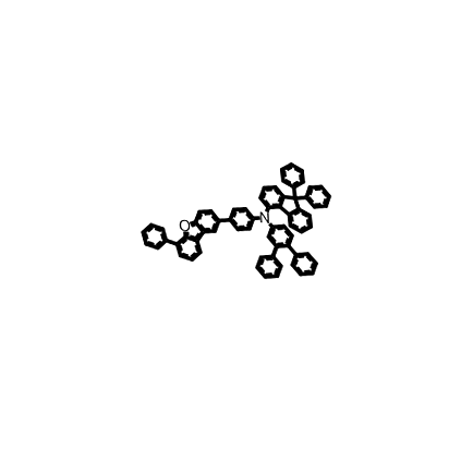 c1ccc(-c2ccc(N(c3ccc(-c4ccc5oc6c(-c7ccccc7)cccc6c5c4)cc3)c3cccc4c3-c3ccccc3C4(c3ccccc3)c3ccccc3)cc2-c2ccccc2)cc1